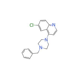 Clc1ccc2nccc(N3CCN(Cc4ccccc4)CC3)c2c1